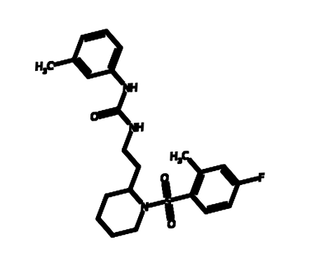 Cc1cccc(NC(=O)NCCC2CCCCN2S(=O)(=O)c2ccc(F)cc2C)c1